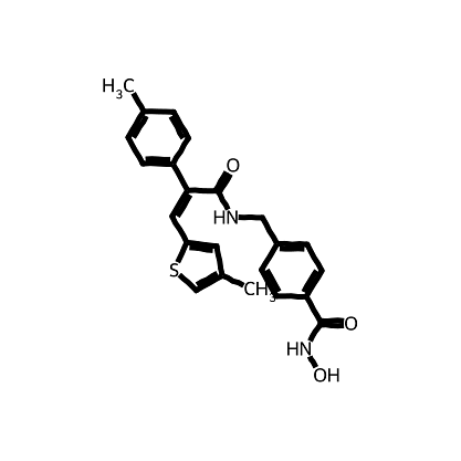 Cc1ccc(C(=Cc2cc(C)cs2)C(=O)NCc2ccc(C(=O)NO)cc2)cc1